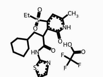 CCS(=O)(=O)c1cc(C)[nH]c(=O)c1C(CC1CCCCC1)C(=O)Nc1nccs1.O=C(O)C(F)(F)F